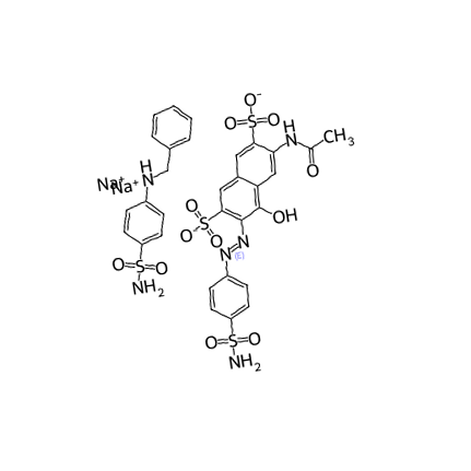 CC(=O)Nc1cc2c(O)c(/N=N/c3ccc(S(N)(=O)=O)cc3)c(S(=O)(=O)[O-])cc2cc1S(=O)(=O)[O-].NS(=O)(=O)c1ccc(NCc2ccccc2)cc1.[Na+].[Na+]